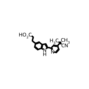 CC(C)(C#N)c1ccnc(-c2cc3cc(CCC(=O)O)ccc3[nH]2)c1